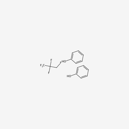 FCC(F)(F)C(F)(F)F.Oc1ccccc1.Oc1ccccc1